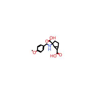 COc1ccc(CNC2(C(=O)O)CCC3C(C(=O)O)C32)cc1